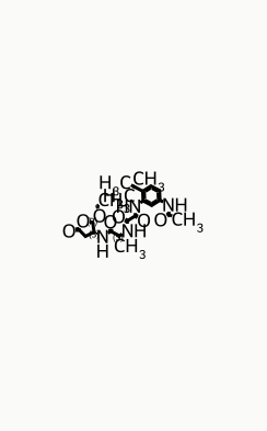 CCO[C@@H]1OC(=O)C[C@@H]1NC(=O)[C@H](C)NC(=O)C(=O)Nc1cc(NC(C)=O)ccc1C(C)(C)C